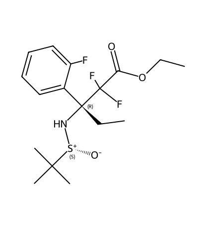 CCOC(=O)C(F)(F)[C@](CC)(N[S@+]([O-])C(C)(C)C)c1ccccc1F